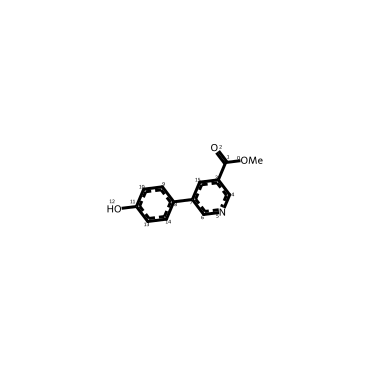 COC(=O)c1cncc(-c2ccc(O)cc2)c1